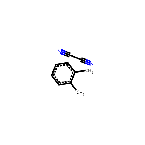 Cc1ccccc1C.N#CC#N